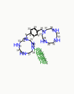 Br.Br.Br.Br.Br.Br.c1cc(CN2CCNCCNCCNCC2)ccc1CN1CCNCCNCCNCC1